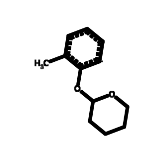 Cc1ccc[c]c1OC1CCCCO1